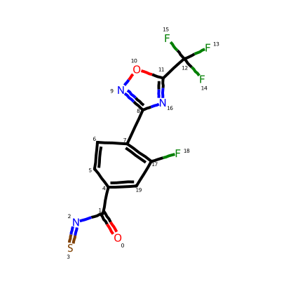 O=C(N=S)c1ccc(-c2noc(C(F)(F)F)n2)c(F)c1